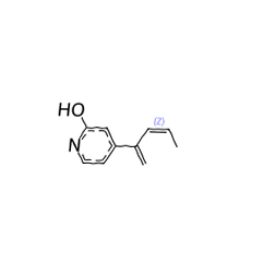 C=C(/C=C\C)c1ccnc(O)c1